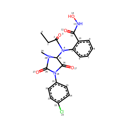 CCC(=O)N(c1ccccc1C(=O)NO)C1C(=O)N(c2ccc(Cl)cc2)C(=O)N1C